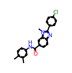 Cc1ccc(NC(=O)c2ccc3nc(-c4ccc(Cl)cc4)n(C)c3c2)cc1C